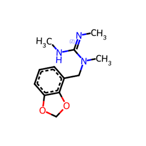 C/N=C(/NC)N(C)Cc1cccc2c1OCO2